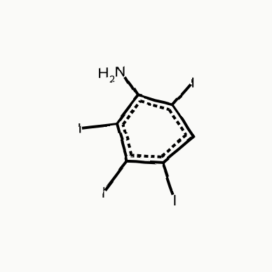 Nc1c(I)cc(I)c(I)c1I